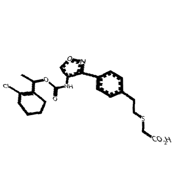 CC(OC(=O)Nc1conc1-c1ccc(CCSCC(=O)O)cc1)C1=C(Cl)CCCC1